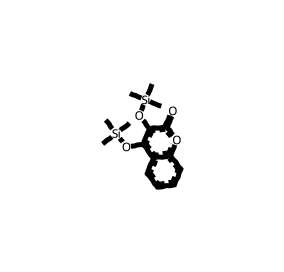 C[Si](C)(C)Oc1c(O[Si](C)(C)C)c2ccccc2oc1=O